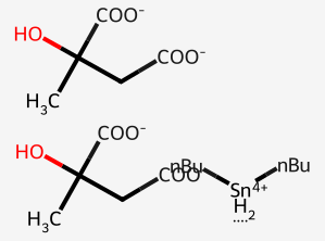 CC(O)(CC(=O)[O-])C(=O)[O-].CC(O)(CC(=O)[O-])C(=O)[O-].CCC[CH2][SnH2+4][CH2]CCC